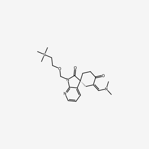 CN(C)C=C1C[C@@]2(CCC1=O)C(=O)N(COCC[Si](C)(C)C)c1ncccc12